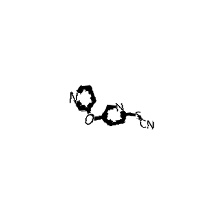 N#CSc1ccc(Oc2cccnc2)cn1